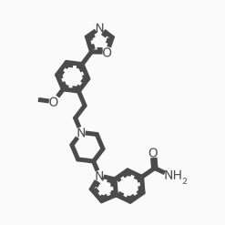 COc1ccc(-c2cnco2)cc1CCN1CCC(n2ccc3ccc(C(N)=O)cc32)CC1